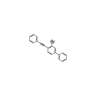 Brc1cc(-c2ccccc2)ccc1C#Cc1ccccc1